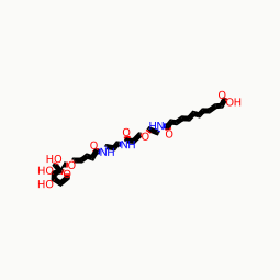 O=C(O)CCCCCCCCCCC(=O)NCCOCCC(=O)NCCCNC(=O)CCCCOC[C@@]1(CO)OCC[C@@H](O)[C@H]1O